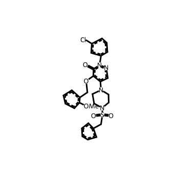 COc1ccccc1COc1c(N2CCN(S(=O)(=O)Cc3ccccc3)CC2)cnn(-c2cccc(Cl)c2)c1=O